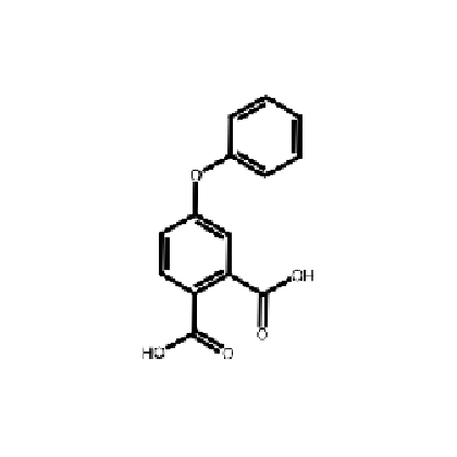 O=C(O)c1ccc(Oc2ccccc2)cc1C(=O)O